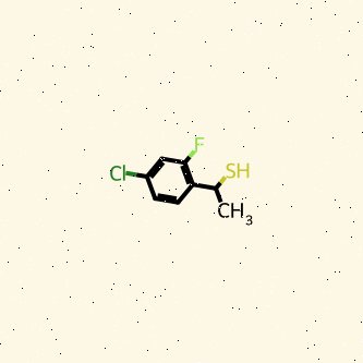 CC(S)c1ccc(Cl)cc1F